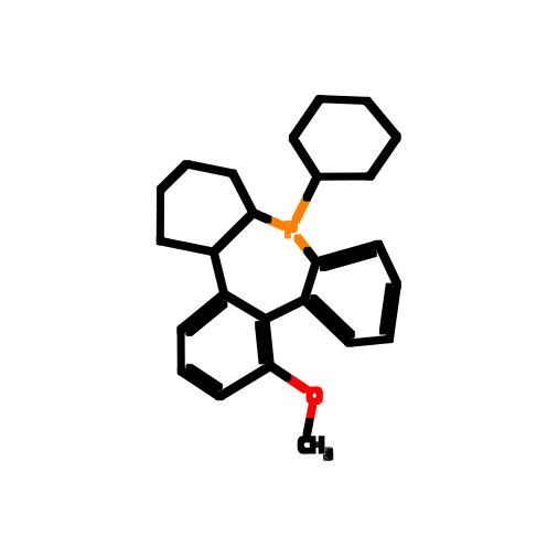 COc1cccc2c1-c1ccccc1P(C1CCCCC1)C1CCCCC21